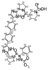 COC(=O)N[C@@H](C(=O)N1CCC[C@H]1c1ncc(-c2ccc(-c3ccc(-c4cnc([C@@H]5CCCN5C(=O)[C@@H]5CCCN(C(=O)O)C5)[nH]4)cc3)cc2)[nH]1)c1ccccc1